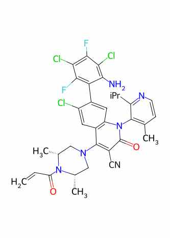 C=CC(=O)N1[C@H](C)CN(c2c(C#N)c(=O)n(-c3c(C)ccnc3C(C)C)c3cc(-c4c(N)c(Cl)c(F)c(Cl)c4F)c(Cl)cc23)C[C@@H]1C